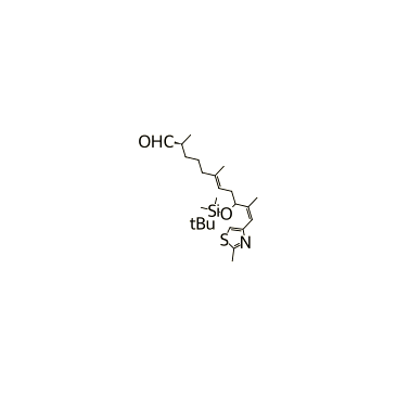 C/C(=C/c1csc(C)n1)C(C/C=C(\C)CCC[C@H](C)C=O)O[Si](C)(C)C(C)(C)C